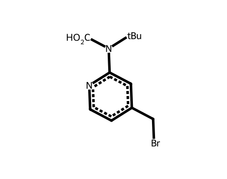 CC(C)(C)N(C(=O)O)c1cc(CBr)ccn1